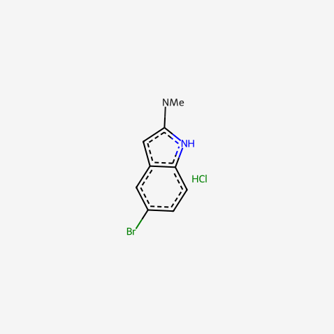 CNc1cc2cc(Br)ccc2[nH]1.Cl